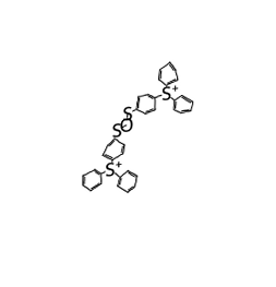 c1ccc([S+](c2ccccc2)c2ccc(SOSc3ccc([S+](c4ccccc4)c4ccccc4)cc3)cc2)cc1